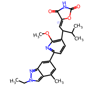 CCn1cc2c(C)cc(-c3ccc(C(/C=C4\OC(=O)NC4=O)C(C)C)c(OC)n3)cc2n1